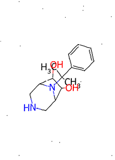 CC(C)(c1ccccc1)N1C2CNCC1C(O)C2O